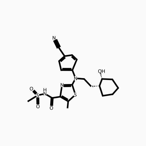 Cc1sc(N(CC[C@H]2CCCC[C@H]2O)c2ccc(C#N)cc2)nc1C(=O)NS(C)(=O)=O